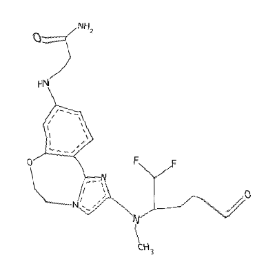 CN(c1cn2c(n1)-c1ccc(NCC(N)=O)cc1OCC2)C(CCC=O)C(F)F